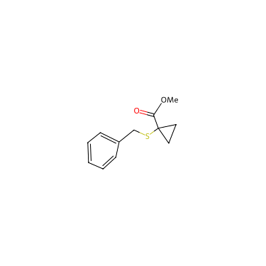 COC(=O)C1(SCc2ccccc2)CC1